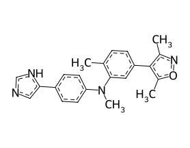 Cc1ccc(-c2c(C)noc2C)cc1N(C)c1ccc(-c2cnc[nH]2)cc1